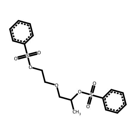 CC(COCCOS(=O)(=O)c1ccccc1)OS(=O)(=O)c1ccccc1